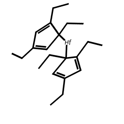 CCC1=C[C](CC)([Hf][C]2(CC)C=C(CC)C=C2CC)C(CC)=C1